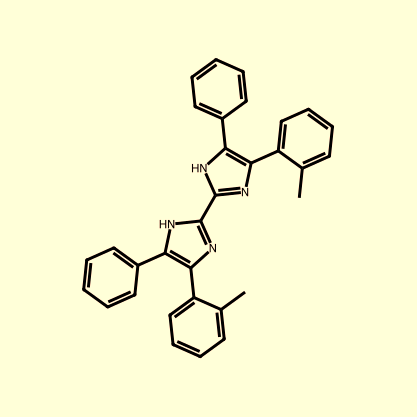 Cc1ccccc1-c1nc(-c2nc(-c3ccccc3C)c(-c3ccccc3)[nH]2)[nH]c1-c1ccccc1